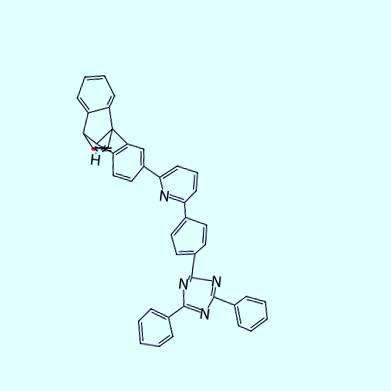 c1ccc(-c2nc(-c3ccccc3)nc(-c3ccc(-c4cccc(-c5ccc6c(c5)C57c8ccccc8C(c8ccccc85)[C@H]67)n4)cc3)n2)cc1